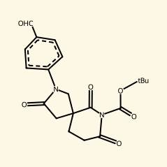 CC(C)(C)OC(=O)N1C(=O)CCC2(CC(=O)N(c3ccc(C=O)cc3)C2)C1=O